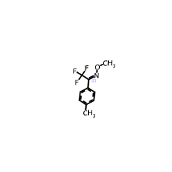 CO/N=C(/c1ccc(C)cc1)C(F)(F)F